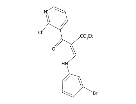 CCOC(=O)/C(=C/Nc1cccc(Br)c1)C(=O)c1cccnc1Cl